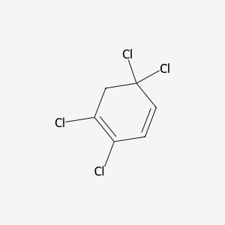 ClC1=C(Cl)CC(Cl)(Cl)C=C1